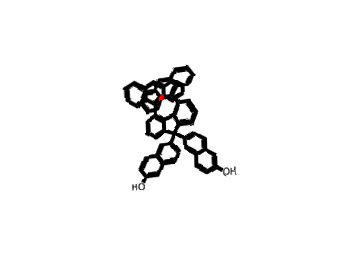 Oc1ccc2cc(C3(c4ccc5cc(O)ccc5c4)c4cccc(-c5c6ccccc6cc6ccccc56)c4-c4c(-c5c6ccccc6cc6ccccc56)cccc43)ccc2c1